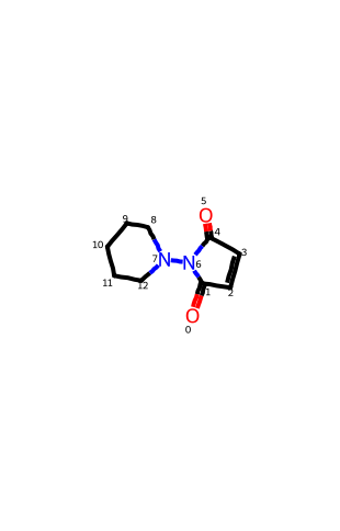 O=C1C=CC(=O)N1N1CCCCC1